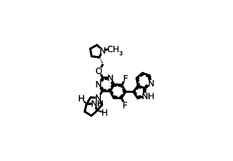 CN1CCC[C@H]1COc1nc(N2C[C@H]3CC[C@@H](C2)N3)c2cc(F)c(-c3c[nH]c4ncccc34)c(F)c2n1